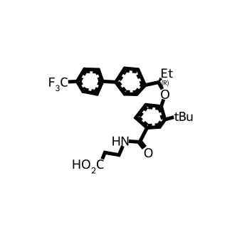 CC[C@@H](Oc1ccc(C(=O)NCCC(=O)O)cc1C(C)(C)C)c1ccc(-c2ccc(C(F)(F)F)cc2)cc1